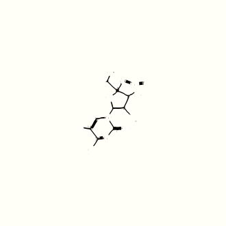 [N-]=[N+]=NC1(CO)OC(n2cc(F)c(O)nc2=O)C(F)C1O